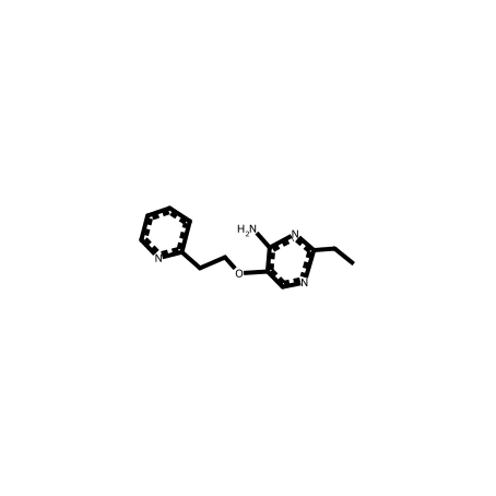 CCc1ncc(OCCc2ccccn2)c(N)n1